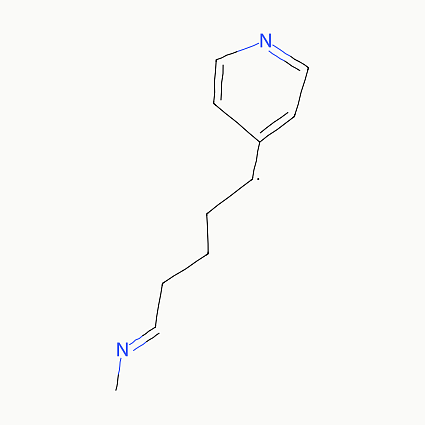 CN=CCCC[CH]c1ccncc1